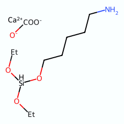 CCO[SiH](OCC)OCCCCCN.O=C([O-])[O-].[Ca+2]